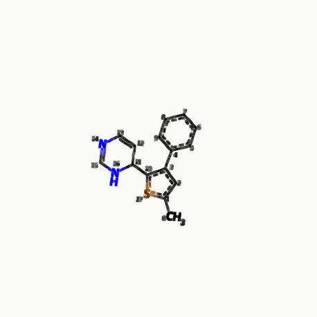 Cc1cc(-c2ccccc2)c(C2C=CN=CN2)s1